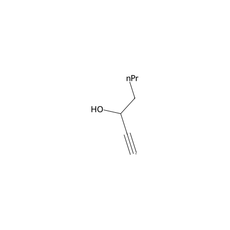 [C]#CC(O)CCCC